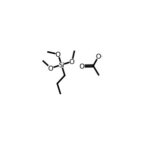 CC([O])=O.CCC[Si](OC)(OC)OC